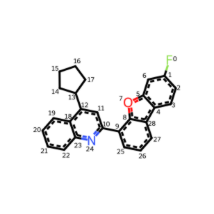 Fc1ccc2c(c1)oc1c(-c3cc(C4CCCC4)c4ccccc4n3)cccc12